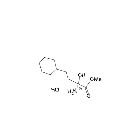 COC(=O)[C@](N)(O)CCC1CCCCC1.Cl